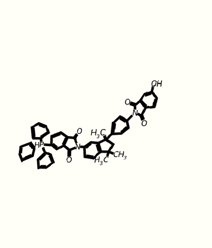 CC1(C)CC(C)(c2ccc(N3C(=O)c4ccc(O)cc4C3=O)cc2)c2cc(N3C(=O)c4ccc([PH](c5ccccc5)(c5ccccc5)c5ccccc5)cc4C3=O)ccc21